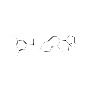 CCC1CCC2C3CC=C4CC(OC(=O)c5cc(C)cc(N)c5)CCC4(C)C3CCC12C